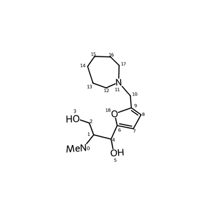 CNC(CO)C(O)c1ccc(CN2CCCCCC2)o1